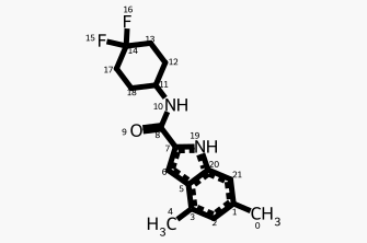 Cc1cc(C)c2cc(C(=O)NC3CCC(F)(F)CC3)[nH]c2c1